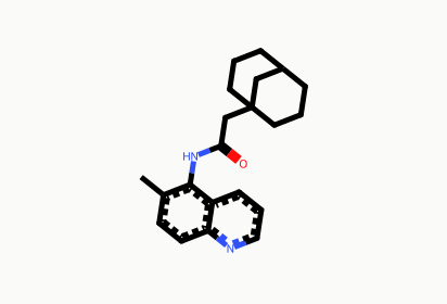 Cc1ccc2ncccc2c1NC(=O)CC12CCCC(CCC1)C2